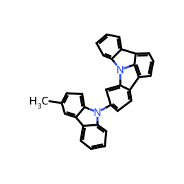 Cc1ccc2c(c1)c1ccccc1n2-c1ccc2c3cccc4c5ccccc5n(c2c1)c43